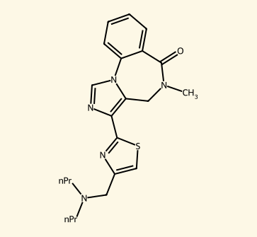 CCCN(CCC)Cc1csc(-c2ncn3c2CN(C)C(=O)c2ccccc2-3)n1